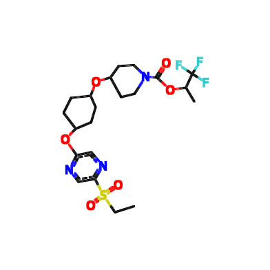 CCS(=O)(=O)c1cnc(OC2CCC(OC3CCN(C(=O)OC(C)C(F)(F)F)CC3)CC2)cn1